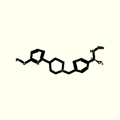 CSN[C@@H](c1ccc(CN2CCC(c3cccc(OC(C)C)n3)CC2)cc1)C(F)(F)F